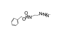 [N-]=[N+]=NCCNC(=O)OCc1ccccc1